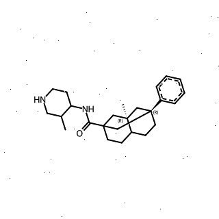 CC1CNCCC1NC(=O)C12CCC3CC[C@](c4ccccc4)(C1)C[C@]3(C)C2